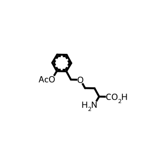 CC(=O)Oc1ccccc1COCCC(N)C(=O)O